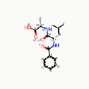 CC(C)C[C@H](NC(=O)c1ccccc1)C(=O)N[C@@H](C)C(=O)O